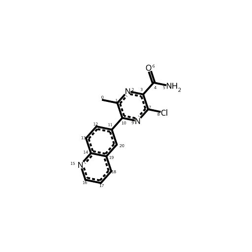 Cc1nc(C(N)=O)c(Cl)nc1-c1ccc2ncccc2c1